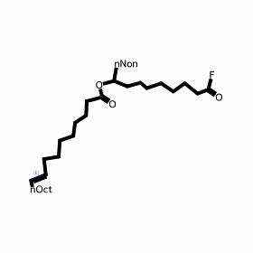 CCCCCCCC/C=C/CCCCCCCC(=O)OC(CCCCCCCCC)CCCCCCCC(=O)F